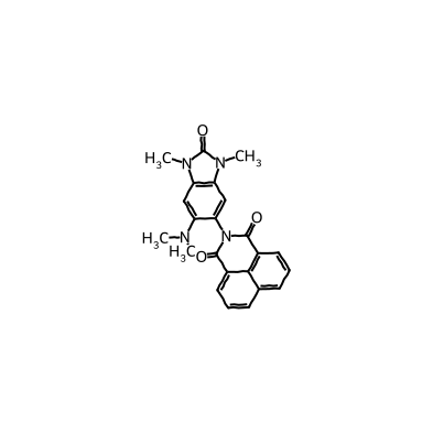 CN(C)c1cc2c(cc1N1C(=O)c3cccc4cccc(c34)C1=O)n(C)c(=O)n2C